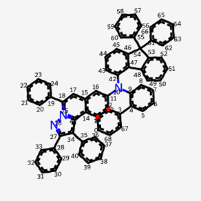 c1ccc(-c2ccccc2N(c2ccc3c(c2)cc(-c2ccccc2)n2nc(-c4ccccc4)c(-c4ccccc4)c32)c2cccc3c2-c2ccccc2C3(c2ccccc2)c2ccccc2)cc1